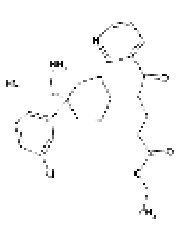 CCOC(=O)CCN(C(=O)c1cccnc1)[C@H]1CC[C@](CN)(c2cccc(Cl)c2)CC1.Cl